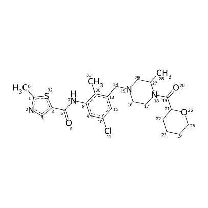 Cc1ncc(C(=O)Nc2cc(Cl)cc(CN3CCN(C(=O)C4CCCCO4)C(C)C3)c2C)s1